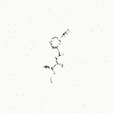 CCCC(=N)C(=O)ONc1cccc(C#N)c1